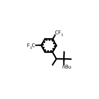 CCCCC(C)(C)C(C)c1cc(C(F)(F)F)cc(C(F)(F)F)c1